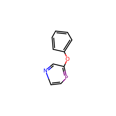 c1ccc(Oc2cnccp2)cc1